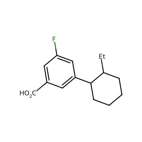 CCC1CCCCC1c1cc(F)cc(C(=O)O)c1